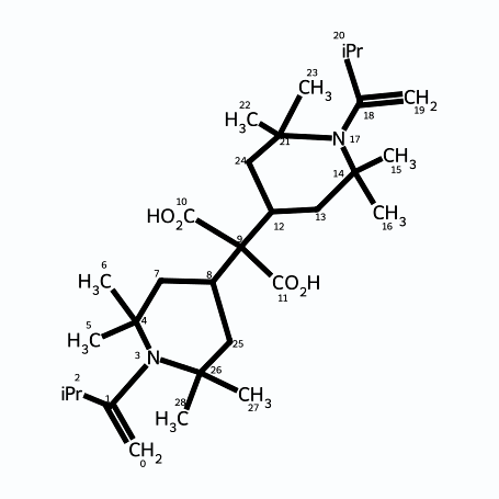 C=C(C(C)C)N1C(C)(C)CC(C(C(=O)O)(C(=O)O)C2CC(C)(C)N(C(=C)C(C)C)C(C)(C)C2)CC1(C)C